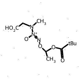 CC(ON=[N+]([O-])N(C)CC(=O)O)OC(=O)C(C)(C)C